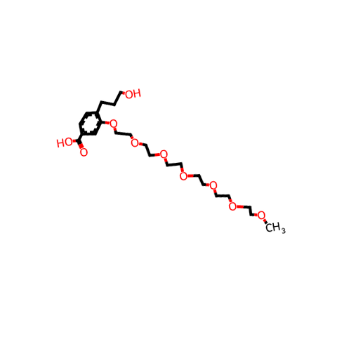 COCCOCCOCCOCCOCCOCCOc1cc(C(=O)O)ccc1CCCO